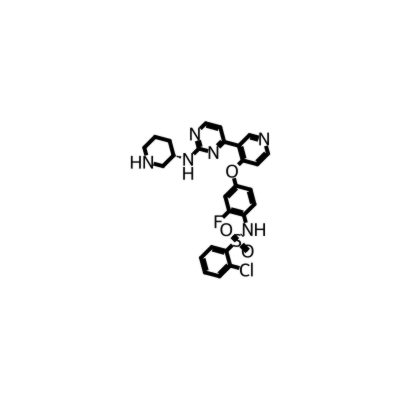 O=S(=O)(Nc1ccc(Oc2ccncc2-c2ccnc(N[C@H]3CCCNC3)n2)cc1F)c1ccccc1Cl